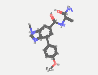 C=C(NC(=O)c1cc(-c2ccc(OC(F)(F)F)cc2)c2ncn(C)c2c1)C(N)=O